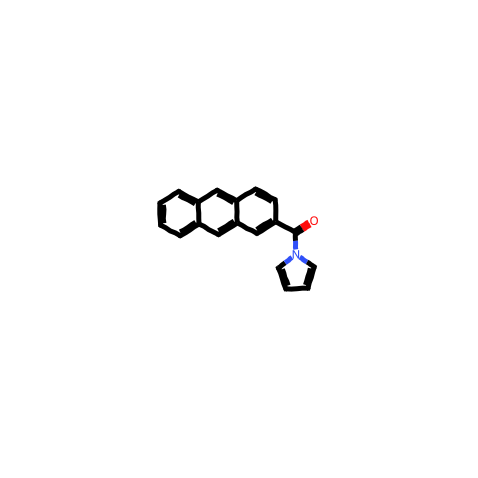 O=C(c1ccc2cc3ccccc3cc2c1)n1cccc1